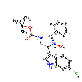 CC(C)(C)OC(=O)NCC(c1c[nH]c2cc(Cl)ccc12)[N+]([O-])=Cc1ccccc1